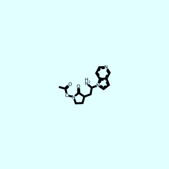 CC(=O)ON1CCC(CC(N)n2ccc3cnccc32)C1=O